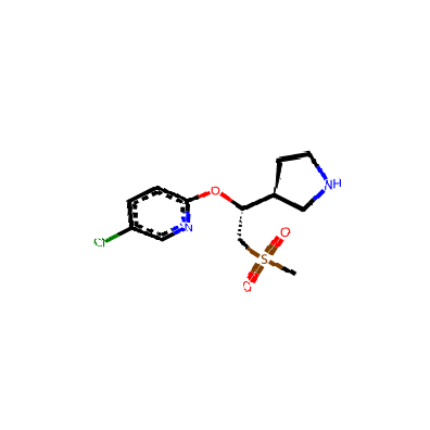 CS(=O)(=O)C[C@H](Oc1ccc(Cl)cn1)[C@H]1CCNC1